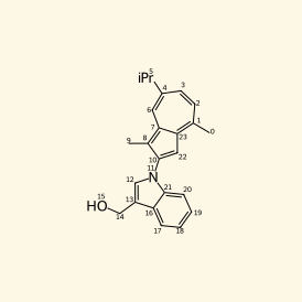 Cc1ccc(C(C)C)cc2c(C)c(-n3cc(CO)c4ccccc43)cc1-2